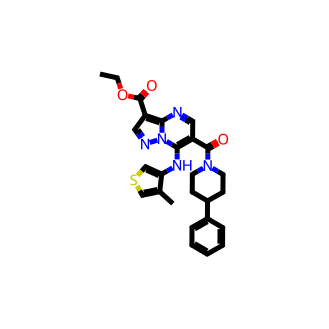 CCOC(=O)c1cnn2c(Nc3cscc3C)c(C(=O)N3CCC(c4ccccc4)CC3)cnc12